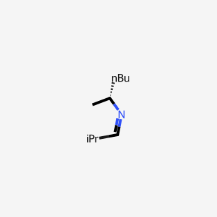 CCCC[C@@H](C)/N=C\C(C)C